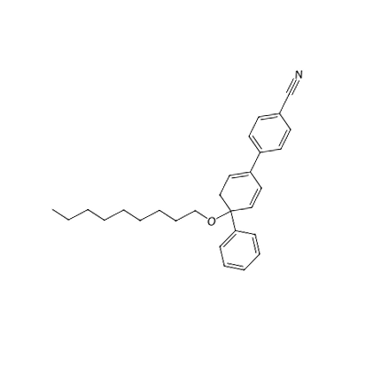 CCCCCCCCCOC1(c2ccccc2)C=CC(c2ccc(C#N)cc2)=CC1